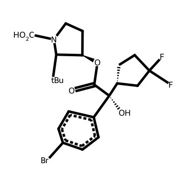 CC(C)(C)C1[C@H](OC(=O)[C@](O)(c2ccc(Br)cc2)[C@@H]2CCC(F)(F)C2)CCN1C(=O)O